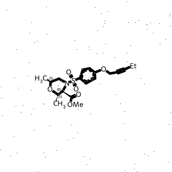 CCC#CCOc1ccc(S(=O)(=O)N2C[C@H](C)O[C@@H](C)[C@@H]2C(=O)OC)cc1